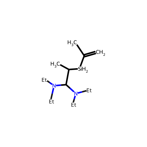 C=C(C)[SiH2]C(C)C(N(CC)CC)N(CC)CC